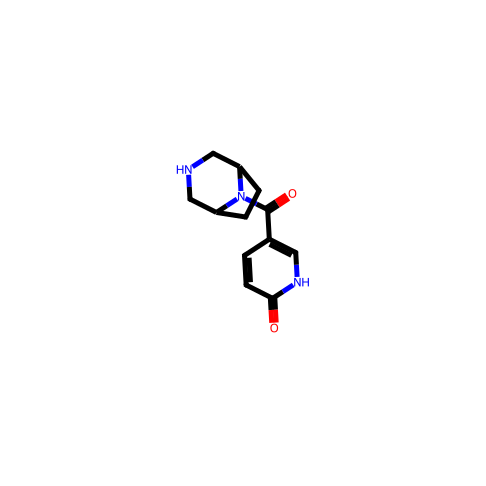 O=C(c1ccc(=O)[nH]c1)N1C2CCC1CNC2